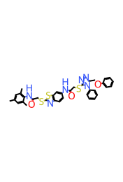 Cc1cc(C)c(NC(=O)CSc2nc3ccc(NC(=O)CSc4nnc(COc5ccccc5)n4-c4ccccc4)cc3s2)c(C)c1